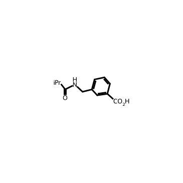 CC(C)C(=O)NCc1cccc(C(=O)O)c1